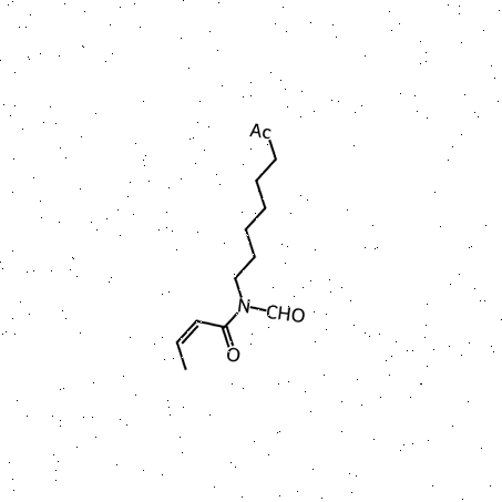 C/C=C\C(=O)N(C=O)CCCCCCC(C)=O